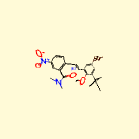 COc1c(/C=C/c2ccc([N+](=O)[O-])cc2C(=O)N(C)C)cc(Br)cc1C(C)(C)C